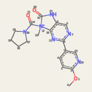 COc1ccc(-c2ncc3c(n2)[N+](C)(C(=O)N2CCCC2)C(=O)N3)cn1